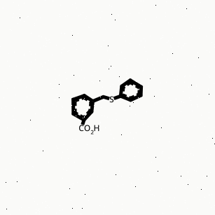 O=C(O)c1cccc(CSc2ccccc2)c1